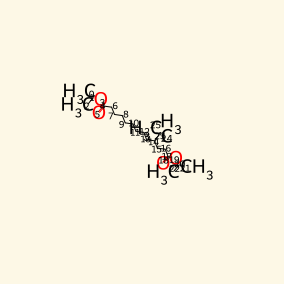 CC(C)OC(=O)CCCCCCCCC(CCC(=O)OC(C)C)C(C)C